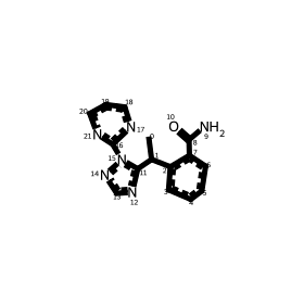 CC(c1ccccc1C(N)=O)c1ncnn1-c1ncccn1